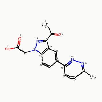 CC(=O)c1nn(CC(=O)O)c2ccc(-c3ccc(C)nn3)cc12